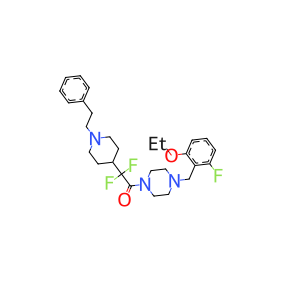 CCOc1cccc(F)c1CN1CCN(C(=O)C(F)(F)C2CCN(CCc3ccccc3)CC2)CC1